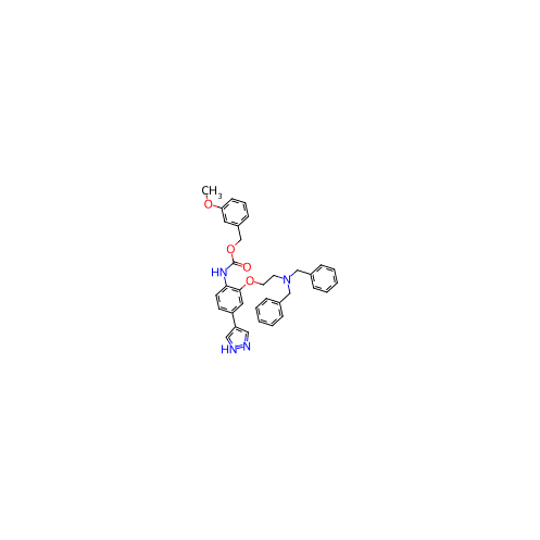 COc1cccc(COC(=O)Nc2ccc(-c3cn[nH]c3)cc2OCCN(Cc2ccccc2)Cc2ccccc2)c1